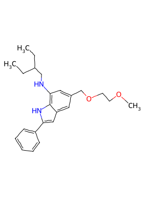 CCC(CC)CNc1cc(COCCOC)cc2cc(-c3ccccc3)[nH]c12